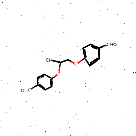 CCC(COc1ccc(C=O)cc1)Oc1ccc(C=O)cc1